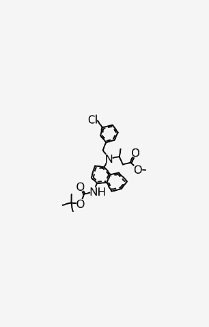 COC(=O)CC(C)N(Cc1cccc(Cl)c1)c1ccc(NC(=O)OC(C)(C)C)c2ccccc12